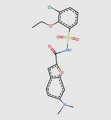 CCOc1c(Cl)cccc1S(=O)(=O)NC(=O)c1cc2ccc(N(C)C)cc2o1